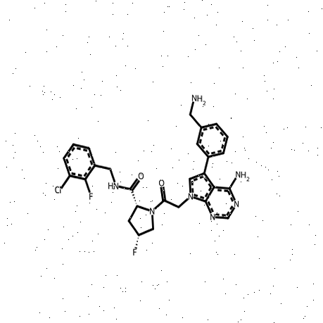 NCc1cccc(-c2cn(CC(=O)N3C[C@H](F)C[C@@H]3C(=O)NCc3cccc(Cl)c3F)c3ncnc(N)c23)c1